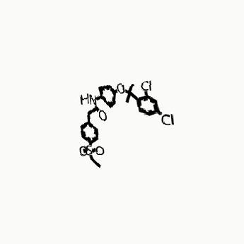 CCS(=O)(=O)c1ccc(CC(=O)Nc2ccc(OC(C)(C)c3ccc(Cl)cc3Cl)cc2)cc1